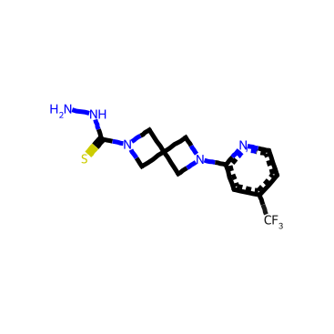 NNC(=S)N1CC2(C1)CN(c1cc(C(F)(F)F)ccn1)C2